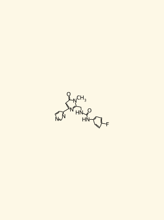 Cn1c(CNC(=O)Nc2ccc(F)cc2)nc(-c2ccncn2)cc1=O